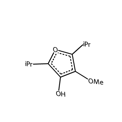 COc1c(C(C)C)oc(C(C)C)c1O